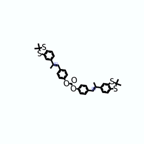 C/C(=C\c1ccc(OC(=O)Oc2ccc(/C=C(\C)c3ccc4c(c3)SC(C)(C)S4)cc2)cc1)c1ccc2c(c1)SC(C)(C)S2